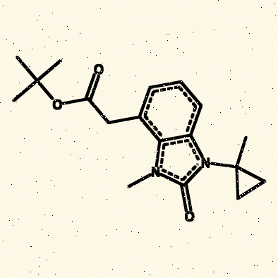 Cn1c(=O)n(C2(C)CC2)c2cccc(CC(=O)OC(C)(C)C)c21